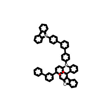 c1ccc(-c2cccc(-c3ccc(N(c4ccc(-c5cccc(-c6ccc(-n7c8ccccc8c8ccccc87)cc6)c5)cc4)c4ccccc4-c4cccc5oc6ccccc6c45)cc3)c2)cc1